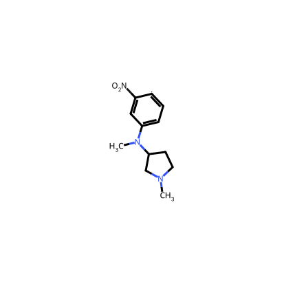 CN1CCC(N(C)c2cc[c]c([N+](=O)[O-])c2)C1